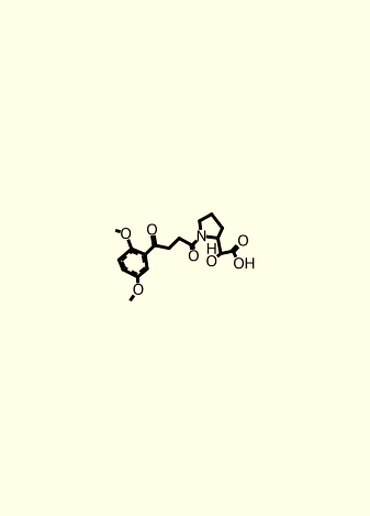 COc1ccc(OC)c(C(=O)CCC(=O)N2CCCC2C(O)C(=O)O)c1